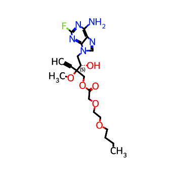 C#CC(COC(=O)COCCOCCCC)(OC)[C@@H](O)Cn1cnc2c(N)nc(F)nc21